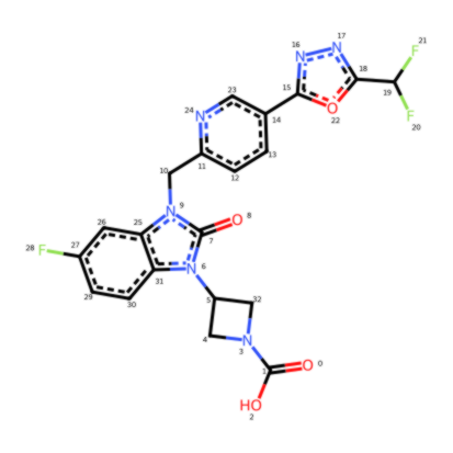 O=C(O)N1CC(n2c(=O)n(Cc3ccc(-c4nnc(C(F)F)o4)cn3)c3cc(F)ccc32)C1